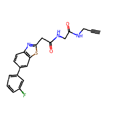 C#CCNC(=O)CNC(=O)Cc1nc2ccc(-c3cccc(F)c3)cc2s1